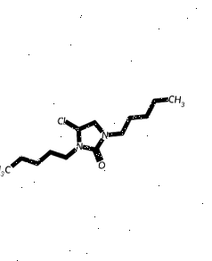 CCCCCN1CC(Cl)N(CCCCC)C1=O